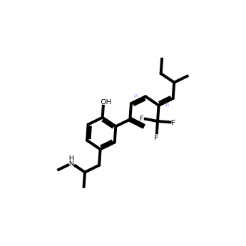 C=C(/C=C\C(=C/C(C)CC)C(F)(F)F)c1cc(CC(C)NC)ccc1O